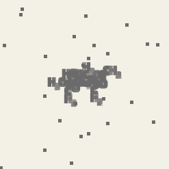 C=C1OC(=C)C(C)(CC(OO)OC(C)(C)C)O1